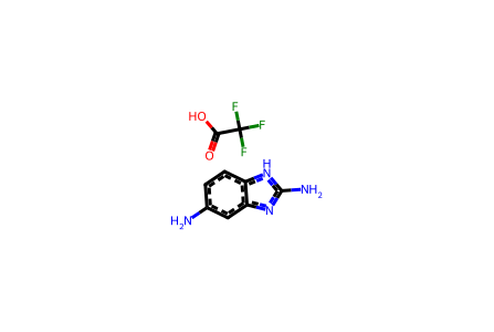 Nc1ccc2[nH]c(N)nc2c1.O=C(O)C(F)(F)F